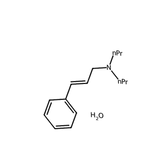 CCCN(CC=Cc1ccccc1)CCC.O